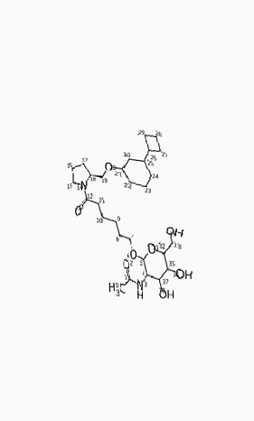 CC(=O)NC1C(OCCCCCC(=O)N2CCC[C@H]2COC2CCCC(C3CCC3)C2)OC(CO)C(O)C1O